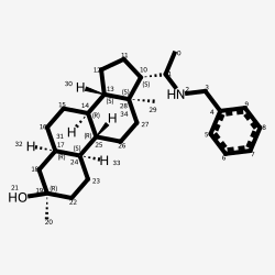 CC(NCc1ccccc1)[C@H]1CC[C@H]2[C@@H]3CC[C@@H]4C[C@](C)(O)CC[C@@H]4[C@H]3CC[C@]12C